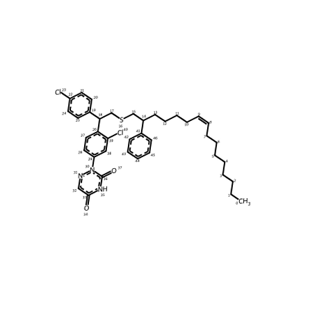 CCCCCCCC/C=C\CCCCC(CSCC(c1ccc(Cl)cc1)c1ccc(-n2ncc(=O)[nH]c2=O)cc1Cl)c1ccccc1